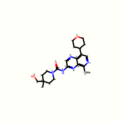 COc1ncc(C2CCOCC2)c2ncc(NC(=O)N3CCC(C)(CO)CC3)nc12